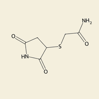 NC(=O)CSC1CC(=O)NC1=O